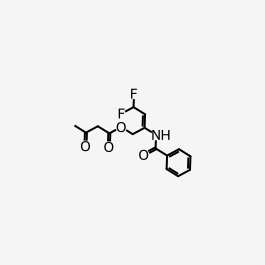 CC(=O)CC(=O)OCC(=CC(F)F)NC(=O)c1ccccc1